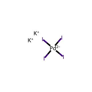 [I][Pd-2]([I])([I])[I].[K+].[K+]